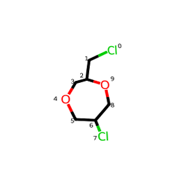 ClCC1COCC(Cl)CO1